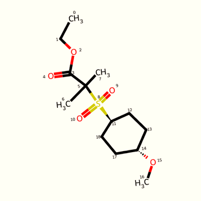 CCOC(=O)C(C)(C)S(=O)(=O)[C@H]1CC[C@H](OC)CC1